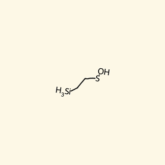 OSCC[SiH3]